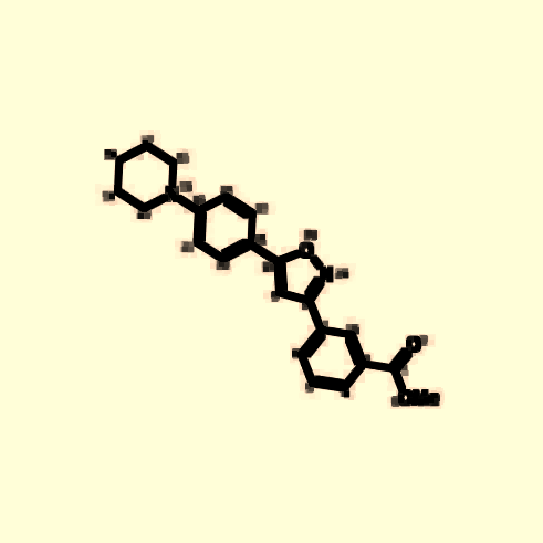 COC(=O)c1cccc(-c2cc(-c3ccc(N4CCCCC4)cc3)on2)c1